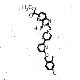 COC(=O)c1ccc2nc(CN3CCC(c4cccc(OCc5ccc(Cl)cc5F)n4)CC3)n(C)c2n1